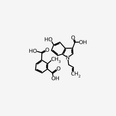 C=CCn1cc(C(=O)O)c2cc(O)ccc21.Cc1c(C(=O)O)cccc1C(=O)O